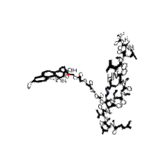 C/C=C/C[C@@H]1[C@@H](OC(=O)OCOC(=O)COCC(=O)OCC(=O)[C@@]2(O)CCC3C4CCC5=CC(=O)C=C[C@]5(C)C4[C@@H](O)C[C@@]32C)[C@H](N(C)C(=O)[C@H](C(C)C)N(C)C(=O)[C@H](CC(C)C)N(C)C(=O)CCC(C)C)C(=O)N1[C@@H](CC)C(=O)N(C)CC(=O)N(C)[C@@H](CC(C)C)C(=O)N[C@H](C(=O)N(C)[C@@H](CC(C)C)C(=O)N[C@H](C)C(=O)NC(=O)NC)C(C)C